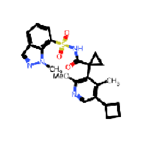 COc1ncc(C2CCC2)c(C)c1C1(C(=O)NS(=O)(=O)c2cccc3cnn(C)c23)CC1